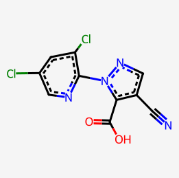 N#Cc1cnn(-c2ncc(Cl)cc2Cl)c1C(=O)O